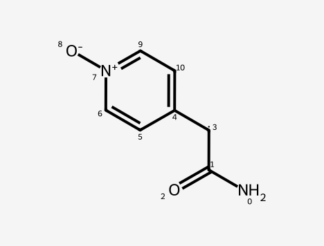 NC(=O)[CH]c1cc[n+]([O-])cc1